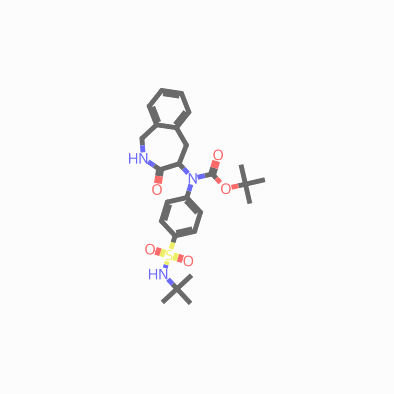 CC(C)(C)NS(=O)(=O)c1ccc(N(C(=O)OC(C)(C)C)C2Cc3ccccc3CNC2=O)cc1